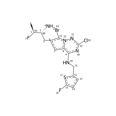 C[C@H](F)[C@H](N)Cc1cc2c(NCc3ccc(F)s3)nc(Cl)nn2c1Br